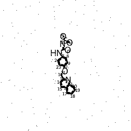 O=C(N=S(=O)=O)Nc1ccc(OCc2ccc3ccccc3n2)cc1